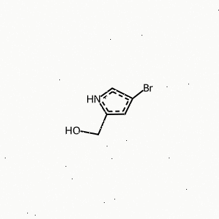 OCc1cc(Br)c[nH]1